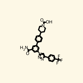 NC(=O)c1cc(-c2ccc(C3CCN(C(=O)O)CC3)cc2)cc(-n2cc(-c3ccc(C(F)(F)F)cc3)nn2)c1